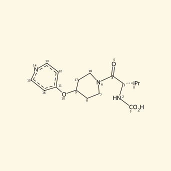 CC(C)[C@H](NC(=O)O)C(=O)N1CCC(Oc2ccncc2)CC1